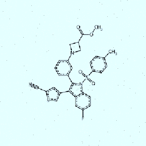 COC(=O)C1CN(c2cccc(-c3c(-c4csc(C#N)c4)c4cc(F)ccc4n3S(=O)(=O)c3ccc(C)cc3)c2)C1